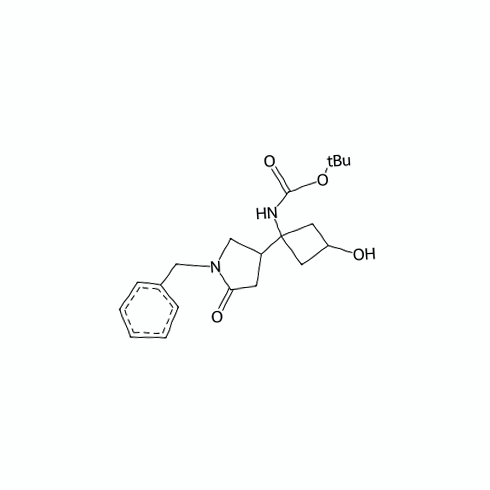 CC(C)(C)OC(=O)NC1(C2CC(=O)N(Cc3ccccc3)C2)CC(O)C1